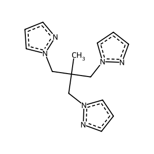 CC(Cn1cccn1)(Cn1cccn1)Cn1cccn1